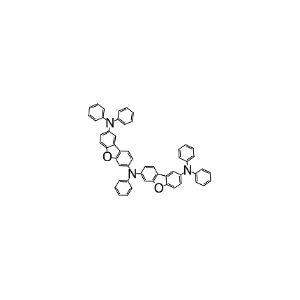 c1ccc(N(c2ccc3c(c2)oc2ccc(N(c4ccccc4)c4ccccc4)cc23)c2ccc3c(c2)oc2ccc(N(c4ccccc4)c4ccccc4)cc23)cc1